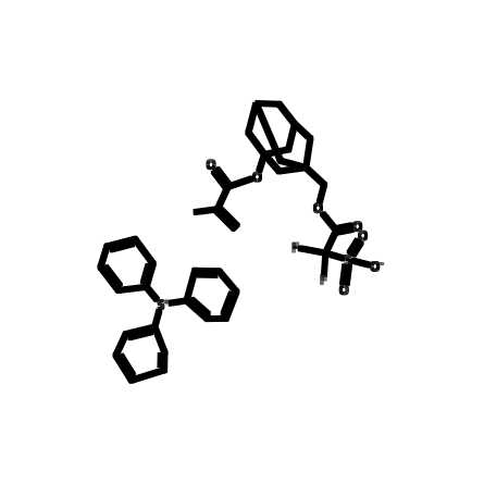 C=C(C)C(=O)OC12CC3CC(CC(COC(=O)C(F)(F)S(=O)(=O)[O-])(C3)C1)C2.c1ccc([S+](c2ccccc2)c2ccccc2)cc1